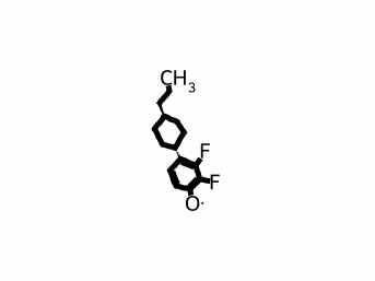 CCC[C@H]1CC[C@H](c2ccc([O])c(F)c2F)CC1